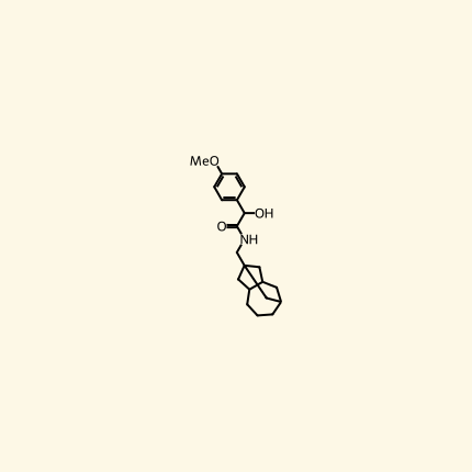 COc1ccc(C(O)C(=O)NCC23CC4CCCC(C2)C(C4)C3)cc1